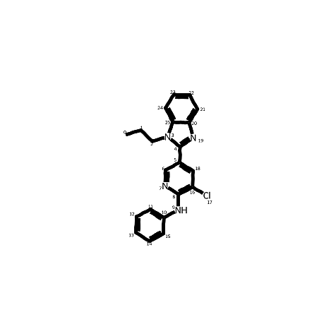 CCCn1c(-c2cnc(Nc3ccccc3)c(Cl)c2)nc2ccccc21